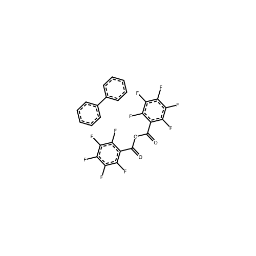 O=C(OC(=O)c1c(F)c(F)c(F)c(F)c1F)c1c(F)c(F)c(F)c(F)c1F.c1ccc(-c2ccccc2)cc1